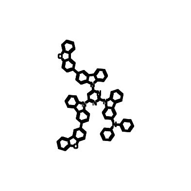 c1ccc(N(c2ccccc2)c2ccc3c(c2)c2ccccc2n3-c2nc(-n3c4ccccc4c4cc(-c5ccc6oc7ccccc7c6c5)ccc43)cc(-n3c4ccccc4c4cc(-c5ccc6oc7ccccc7c6c5)ccc43)n2)cc1